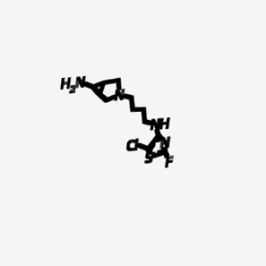 NC1C2CN(CCCCNc3nc(F)sc3Cl)CC12